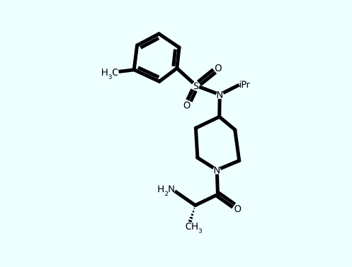 Cc1cccc(S(=O)(=O)N(C(C)C)C2CCN(C(=O)[C@H](C)N)CC2)c1